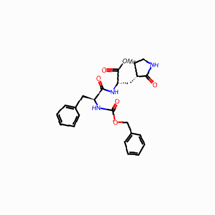 COC(=O)[C@H](C[C@@H]1CCNC1=O)NC(=O)[C@H](Cc1ccccc1)NC(=O)OCc1ccccc1